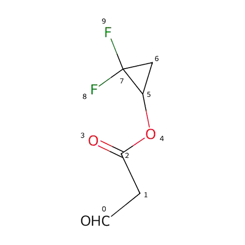 O=CCC(=O)OC1CC1(F)F